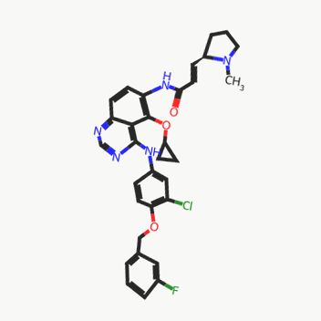 CN1CCC[C@@H]1/C=C/C(=O)Nc1ccc2ncnc(Nc3ccc(OCc4cccc(F)c4)c(Cl)c3)c2c1OC1CC1